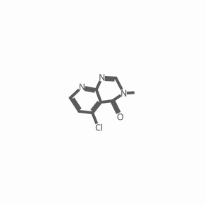 Cn1cnc2nccc(Cl)c2c1=O